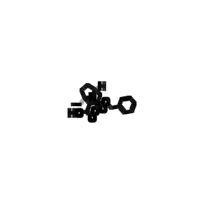 CC[C@@]12CC[C@@H](CC(=O)C1C(=O)O)N2C(=O)OCc1ccccc1